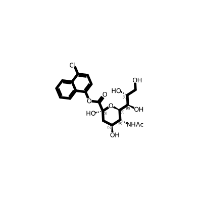 CC(=O)N[C@H]1[C@H]([C@H](O)[C@H](O)CO)O[C@](O)(C(=O)Oc2ccc(Cl)c3ccccc23)C[C@@H]1O